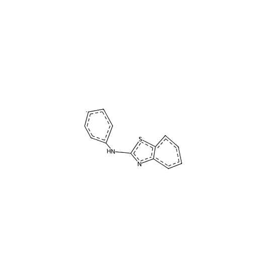 [c]1ccc(Nc2nc3ccccc3s2)cc1